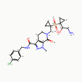 Cn1nc(C(=O)NCc2ccc(Cl)cc2)c2c1C(=O)N(CC1(S(=O)(=O)C3(C(O)CN)CC3)CC1)CC2